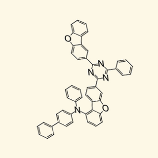 c1ccc(-c2ccc(N(c3ccccc3)c3cccc4oc5cc(-c6nc(-c7ccccc7)nc(-c7ccc8oc9ccccc9c8c7)n6)ccc5c34)cc2)cc1